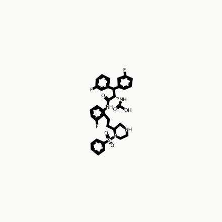 O=C(O)N[C@H](C(=O)Nc1cccc(F)c1CCC1CNCCN1S(=O)(=O)c1ccccc1)C(c1cccc(F)c1)c1cccc(F)c1